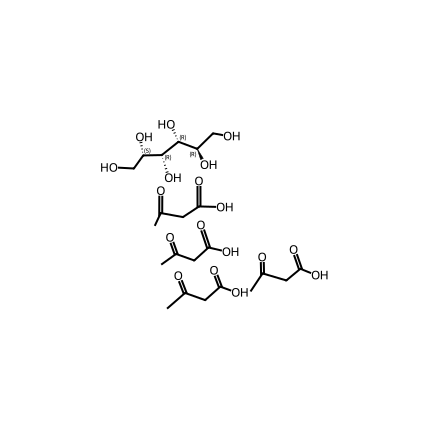 CC(=O)CC(=O)O.CC(=O)CC(=O)O.CC(=O)CC(=O)O.CC(=O)CC(=O)O.OC[C@@H](O)[C@@H](O)[C@H](O)[C@@H](O)CO